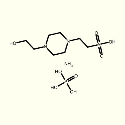 N.O=P(O)(O)O.O=S(=O)(O)CCN1CCN(CCO)CC1